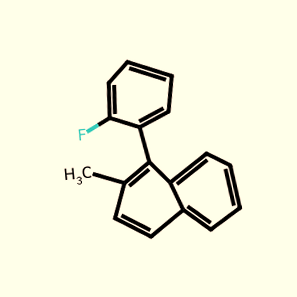 Cc1ccc2ccccc2c1-c1ccccc1F